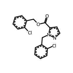 O=C(OCc1ccccc1Cl)c1ccnn1Cc1ccccc1Cl